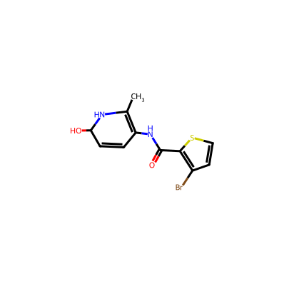 CC1=C(NC(=O)c2sccc2Br)C=CC(O)N1